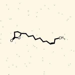 CC/C=C\CCCCCCCC1CCC(=O)O1